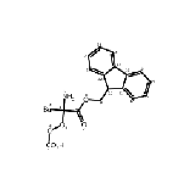 CCCCC(N)(OOC(=O)O)C(=O)OCC1c2ccccc2-c2ccccc21